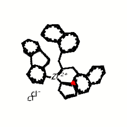 C1=CC[C]([Zr+2](=[C](Cc2cccc3ccccc23)Cc2cccc3ccccc23)[c]2cccc3c2Cc2ccccc2-3)=C1.[Cl-].[Cl-]